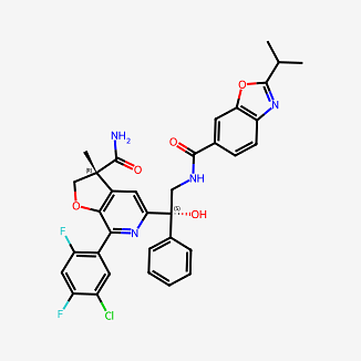 CC(C)c1nc2ccc(C(=O)NC[C@@](O)(c3ccccc3)c3cc4c(c(-c5cc(Cl)c(F)cc5F)n3)OC[C@]4(C)C(N)=O)cc2o1